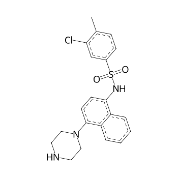 Cc1ccc(S(=O)(=O)Nc2ccc(N3CCNCC3)c3ccccc23)cc1Cl